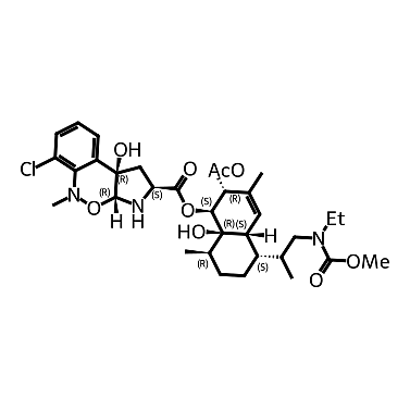 CCN(CC(C)[C@@H]1CC[C@@H](C)[C@@]2(O)[C@@H]1C=C(C)[C@@H](OC(C)=O)[C@@H]2OC(=O)[C@@H]1C[C@@]2(O)c3cccc(Cl)c3N(C)O[C@H]2N1)C(=O)OC